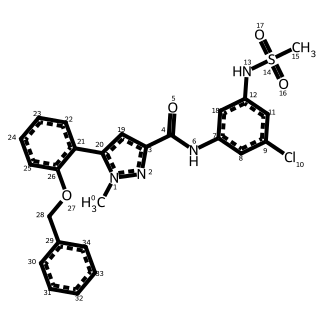 Cn1nc(C(=O)Nc2cc(Cl)cc(NS(C)(=O)=O)c2)cc1-c1ccccc1OCc1ccccc1